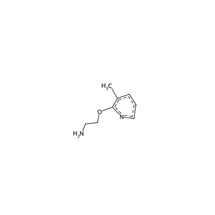 Cc1cccnc1OCCN